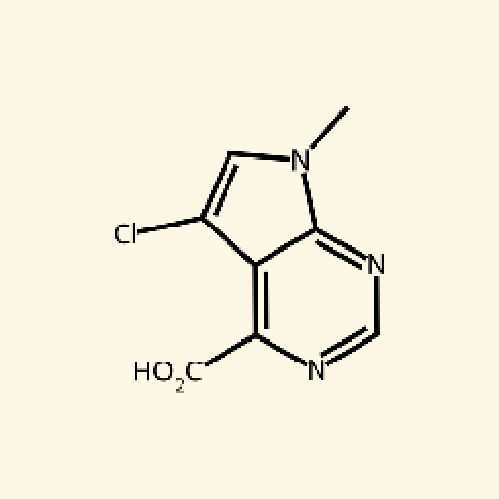 Cn1cc(Cl)c2c(C(=O)O)ncnc21